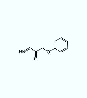 N=CC(=O)COc1ccccc1